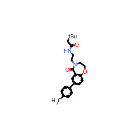 Cc1ccc(-c2ccc3c(c2)C(=O)N(CCNC(=O)CC(C)(C)C)CCO3)cc1